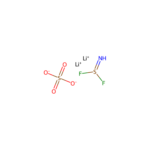 N=S(F)F.O=S(=O)([O-])[O-].[Li+].[Li+]